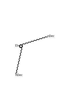 [CH2]Cc1cc(CCCCCCCCCCCCCCCCCCCCCCCCCCCC)cc(CCCCCCCCCCCCCCCCCCCCCCCCCCCC)c1